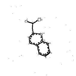 ClC(Cl)c1ccc2ccccc2n1